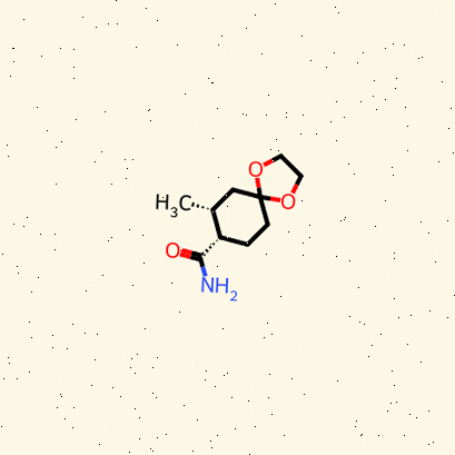 C[C@@H]1CC2(CC[C@@H]1C(N)=O)OCCO2